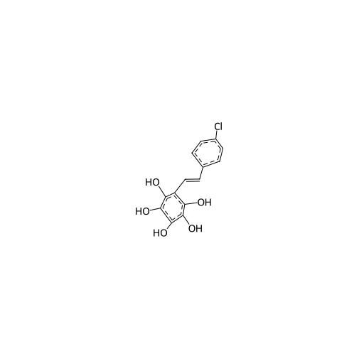 Oc1c(O)c(O)c(C=Cc2ccc(Cl)cc2)c(O)c1O